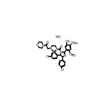 CCOc1cc(OC)c(C#N)cc1C1=NC(c2ccc(Cl)cc2)C(c2ccc(Cl)cc2)N1C(=O)N1CCN(CC(=O)N2CCOCC2)CC1.Cl